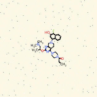 C=CC(=O)N1CCN(c2nc(OC(C)CN(C)C)nc3c2CCN(c2cc(O)c(F)c4ccccc24)C3)CC1